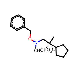 C[C@@](CN(C=O)OCc1ccccc1)(C(=O)O)C1CCCC1